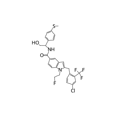 CSc1ccc(C(CO)NC(=O)c2ccc3c(c2)cc(Cc2ccc(Cl)cc2C(F)(F)F)n3CCF)cc1